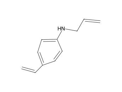 C=CCNc1ccc(C=C)cc1